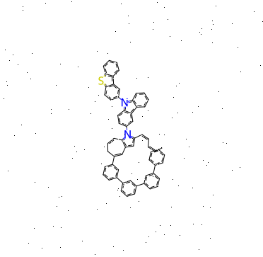 C/C=C\C=C/c1cc2c(n1-c1ccc3c(c1)c1ccccc1n3-c1ccc3sc4ccccc4c3c1)C=CCC(c1cccc(-c3cccc(-c4cccc(-c5ccccc5)c4)c3)c1)=C2